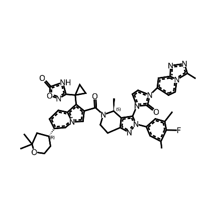 Cc1cc(-n2nc3c(c2-n2ccn(-c4ccn5c(C)nnc5c4)c2=O)[C@H](C)N(C(=O)c2cn4cc([C@@H]5CCOC(C)(C)C5)ccc4c2C2(c4noc(=O)[nH]4)CC2)CC3)cc(C)c1F